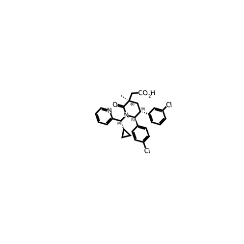 C[C@]1(CC(=O)O)C[C@H](c2cccc(Cl)c2)[C@@H](c2ccc(Cl)cc2)N([C@@H](c2ccccn2)C2CC2)C1=O